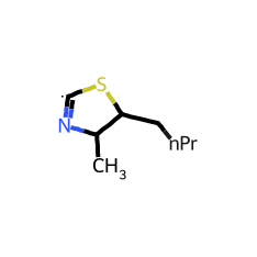 CCCCC1S[C]=NC1C